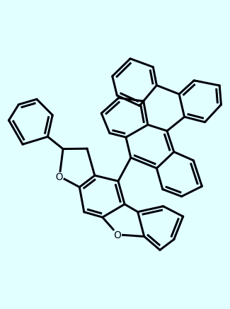 c1ccc(-c2ccccc2-c2c3ccccc3c(-c3c4c(cc5oc6ccccc6c35)OC(c3ccccc3)C4)c3ccccc23)cc1